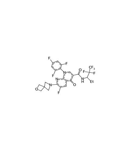 CCC(NC(=O)c1cn(-c2c(F)cc(F)cc2F)c2nc(N3CC4(COC4)C3)c(F)cc2c1=O)C(F)(F)C(F)(F)F